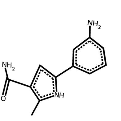 Cc1[nH]c(-c2cccc(N)c2)cc1C(N)=O